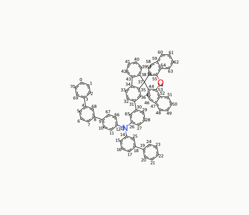 c1ccc(-c2cccc(-c3ccc(N(c4cccc(-c5ccccc5)c4)c4cccc(-c5ccc6c(c5)C5(c7ccccc7-6)c6ccc7ccccc7c6Oc6c5ccc5ccccc65)c4)cc3)c2)cc1